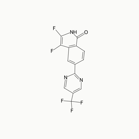 O=c1[nH]c(F)c(F)c2cc(-c3ncc(C(F)(F)F)cn3)ccc12